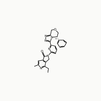 CCc1nc(C)cc2c1CN(c1cccc(-c3nnc4n3[C@@H](c3ccccc3)COC4)n1)C2=O